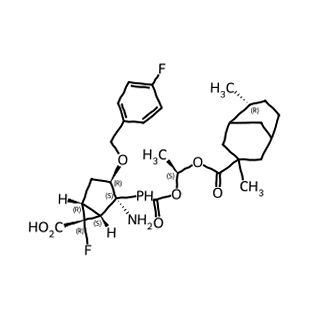 C[C@H](OC(=O)P[C@@]1(N)[C@H]2[C@@H](C[C@H]1OCc1ccc(F)cc1)[C@]2(F)C(=O)O)OC(=O)C1(C)CC2CC[C@@H](C)C(C2)C1